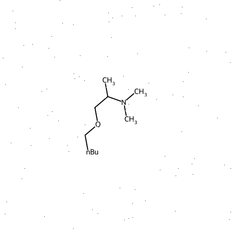 CCCCCOCC(C)N(C)C